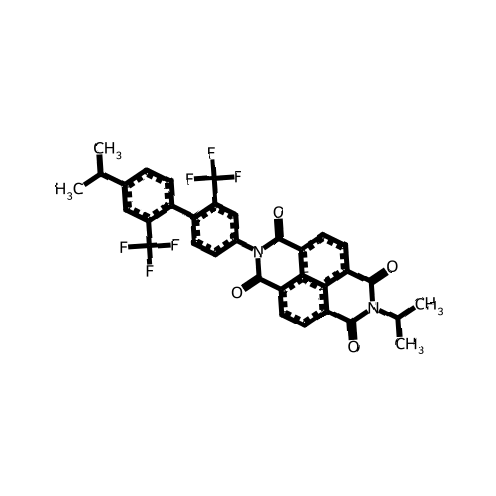 CC(C)c1ccc(-c2ccc(N3C(=O)c4ccc5c6c(ccc(c46)C3=O)C(=O)N(C(C)C)C5=O)cc2C(F)(F)F)c(C(F)(F)F)c1